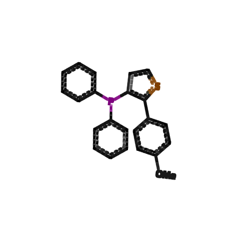 COc1ccc(-c2sccc2P(c2ccccc2)c2ccccc2)cc1